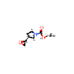 CCCCOC(=O)N1CC[C@H](C2CO2)C1